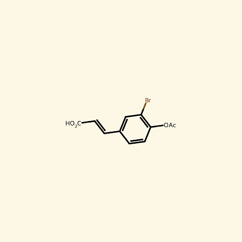 CC(=O)Oc1ccc(C=CC(=O)O)cc1Br